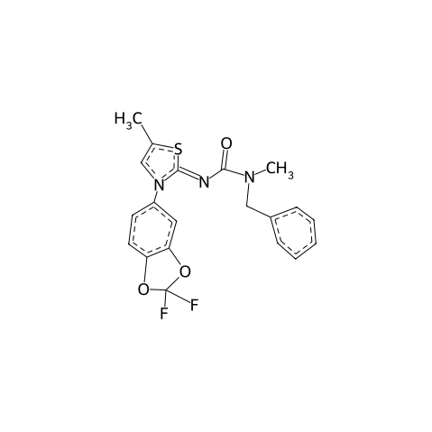 Cc1cn(-c2ccc3c(c2)OC(F)(F)O3)/c(=N/C(=O)N(C)Cc2ccccc2)s1